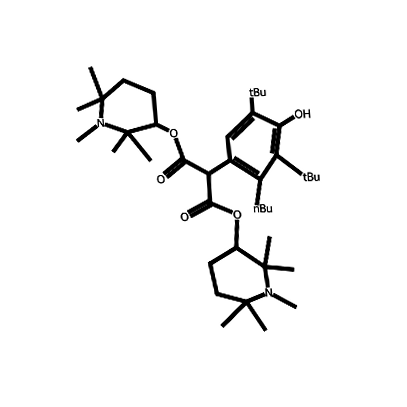 CCCCc1c(C(C(=O)OC2CCC(C)(C)N(C)C2(C)C)C(=O)OC2CCC(C)(C)N(C)C2(C)C)cc(C(C)(C)C)c(O)c1C(C)(C)C